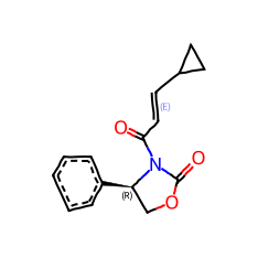 O=C(/C=C/C1CC1)N1C(=O)OC[C@H]1c1ccccc1